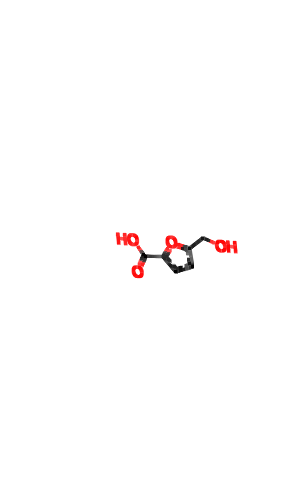 O=C(O)c1ccc(CO)o1